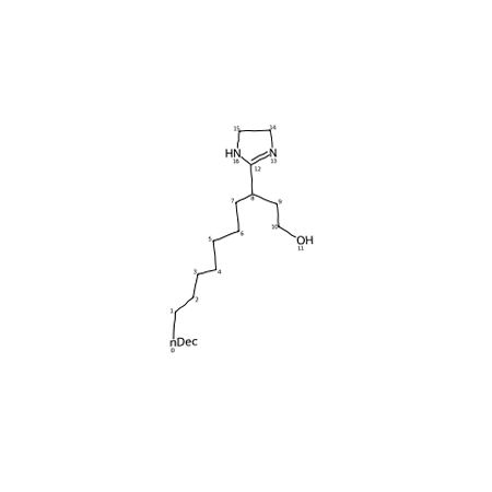 CCCCCCCCCCCCCCCCCC(CCO)C1=NCCN1